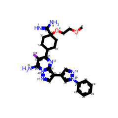 COCCOC1(C(=N)N)CCC(c2nc3c(-c4cnn(-c5ccccc5)c4)cnn3c(N)c2I)CC1